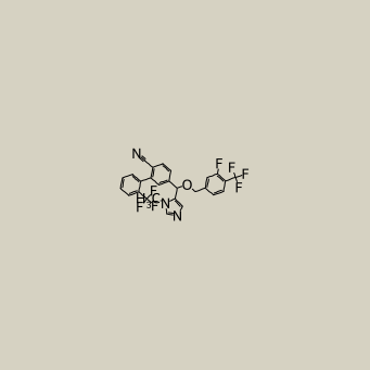 Cn1cncc1C(OCc1ccc(C(F)(F)F)c(F)c1)c1ccc(C#N)c(-c2ccccc2C(F)(F)F)c1